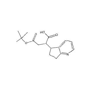 CC(C)(C)OC(=O)CC(C(=O)O)C1CCc2ncccc21